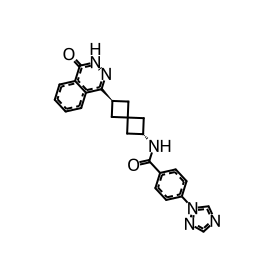 O=C(N[C@H]1CC2(C1)C[C@H](c1n[nH]c(=O)c3ccccc31)C2)c1ccc(-n2cncn2)cc1